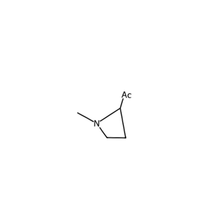 CC(=O)C1CCN1C